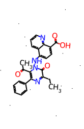 CCc1nc(-c2ccccc2)c(C(C)=O)n(Nc2ccc(C(=O)O)c3ncccc23)c1=O